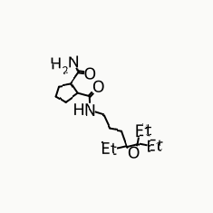 CCC1(CC)OC1(CC)CCCNC(=O)C1CCCC1C(N)=O